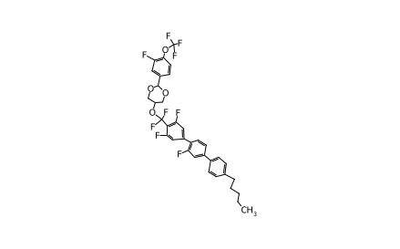 CCCCCc1ccc(-c2ccc(-c3cc(F)c(C(F)(F)OC4COC(c5ccc(OC(F)(F)F)c(F)c5)OC4)c(F)c3)c(F)c2)cc1